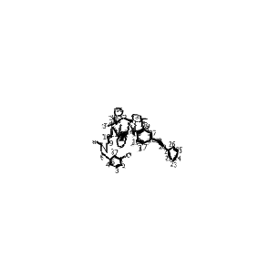 Cc1cccc(CN(C)CCN2C(=O)N(c3ccc(C#Cc4ccccc4)cc3F)C(=O)CC2(C)C=O)c1